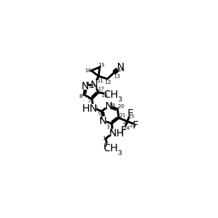 CCNc1nc(Nc2cnn(C3(CC#N)CC3)c2C)ncc1C(F)(F)F